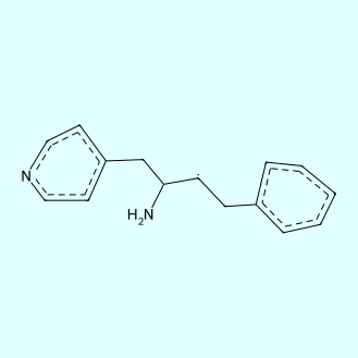 NC([CH]Cc1ccccc1)Cc1ccncc1